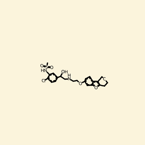 CS(=O)(=O)Nc1cc(C(O)CNCCOc2ccc3c4c(oc3c2)CCCC4)ccc1Cl